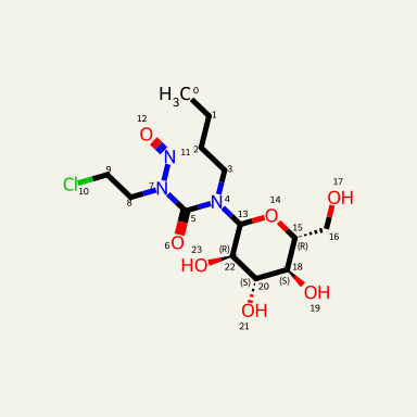 CCCCN(C(=O)N(CCCl)N=O)C1O[C@H](CO)[C@@H](O)[C@H](O)[C@H]1O